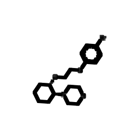 Brc1ccc(OCCO[C@H]2CCCC[C@@H]2N2CCOCC2)cc1